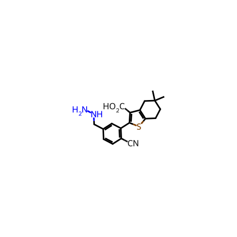 CC1(C)CCc2sc(-c3cc(CNN)ccc3C#N)c(C(=O)O)c2C1